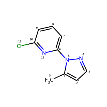 FC(F)(F)c1[c]cnn1-c1cccc(Cl)n1